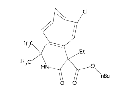 CCCCOC(=O)C1(CC)C(=O)NC(C)(C)C2=C1\C=C(Cl)/C=C/C=C/2